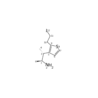 C[C@H](N)[C@H](C)c1ccsc1CCI